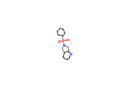 O=S(=O)(c1ccccc1)N1Cc2cccnc2C1